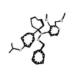 COCc1nccc(N(OCc2ccccc2)C2(c3ccc(OC(C)C)cc3)CCCCC2)c1OC